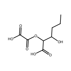 CCCC(O)C(OC(=O)C(=O)O)C(=O)O